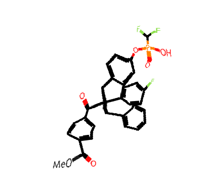 COC(=O)c1ccc(C(=O)C(Cc2ccccc2)(Cc2ccc(OP(=O)(O)C(F)F)cc2)c2ccc(F)cc2)cc1